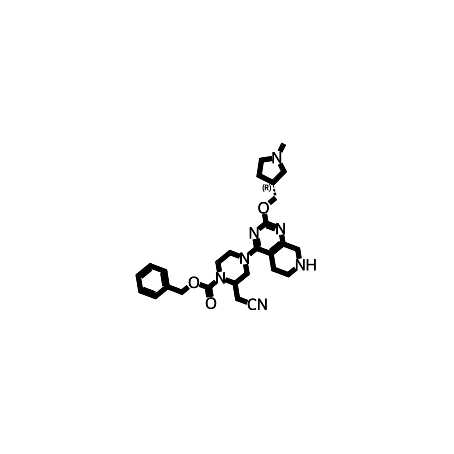 CN1CC[C@@H](COc2nc3c(c(N4CCN(C(=O)OCc5ccccc5)C(CC#N)C4)n2)CCNC3)C1